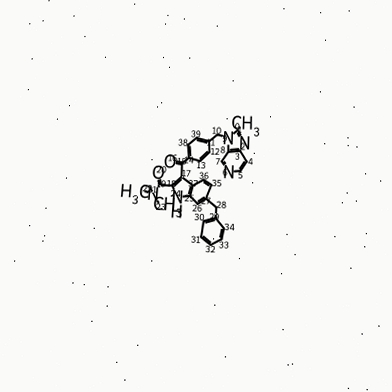 Cc1nc2ccncc2n1Cc1ccc(C(=O)c2c(C(=O)N(C)C)[nH]c3cc(Cc4ccccc4)ccc23)cc1